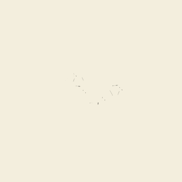 O=C([C@@H]1CCN(c2ccnc(C(F)(F)F)c2)C1)N1Cc2cnc3c(c2C1)CCC3